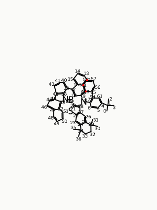 CC(C)(C)c1ccc(N2c3cc4ccccc4c4c3B(c3sc5cc6c(cc5c32)C(C)(C)CCC6(C)C)n2c3c-4cccc3c3ccc4ccccc4c32)c(-c2ccccc2)c1